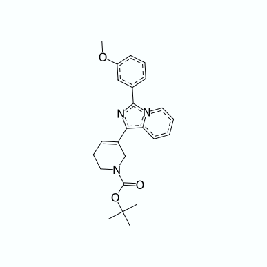 COc1cccc(-c2nc(C3=CCCN(C(=O)OC(C)(C)C)C3)c3ccccn23)c1